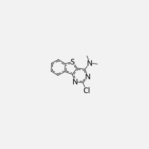 CN(C)c1nc(Cl)nc2c1sc1ccccc12